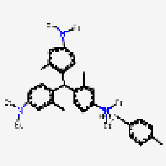 CCN(CC)c1ccc(C(c2ccc(N(CC)CC)cc2C)c2ccc(N(CC)CC)cc2C)c(C)c1.Cc1ccc(S(=O)(=O)O)cc1